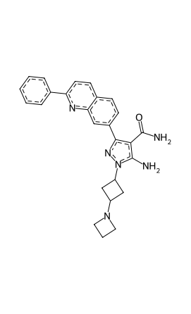 NC(=O)c1c(-c2ccc3ccc(-c4ccccc4)nc3c2)nn(C2CC(N3CCC3)C2)c1N